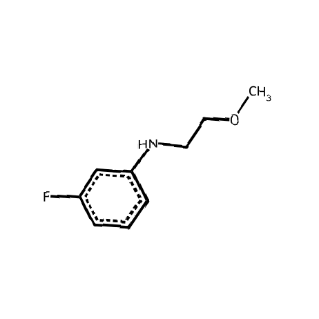 COCCNc1cccc(F)c1